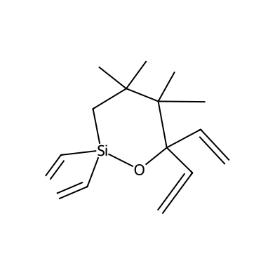 C=CC1(C=C)O[Si](C=C)(C=C)CC(C)(C)C1(C)C